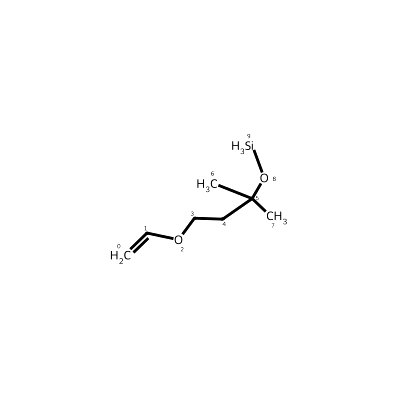 C=COCCC(C)(C)O[SiH3]